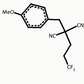 COc1ccc(CC(C#N)(C#N)CCC(F)(F)F)cc1